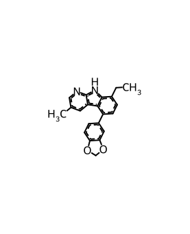 CCc1ccc(-c2ccc3c(c2)OCO3)c2c1[nH]c1ncc(C)cc12